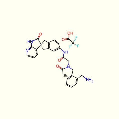 CC(C)(C)C(=O)N(CC(=O)Nc1ccc2c(c1)C[C@@]1(C2)C(=O)Nc2ncccc21)Cc1ccccc1CN.O=C(O)C(F)(F)F